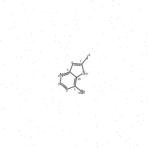 Brc1ccnc2cc(I)sc12